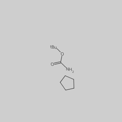 C1CCCC1.CC(C)(C)OC(N)=O